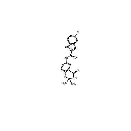 CC1(C)NC(=O)c2cc(NC(=O)c3cc4cc(Cl)ccc4[nH]3)ccc2O1